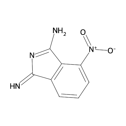 N=C1N=C(N)c2c1cccc2[N+](=O)[O-]